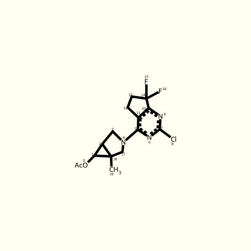 CC(=O)OC1C2CN(c3nc(Cl)nc4c3CCC4(F)F)CC21C